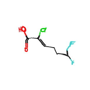 O=C(O)C(Cl)=CCCC(F)F